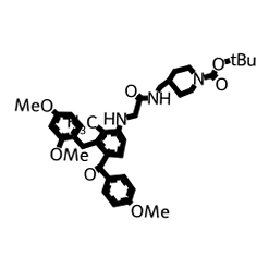 COc1ccc(C(=O)c2ccc(NCC(=O)NCC3CCN(C(=O)OC(C)(C)C)CC3)c(C)c2Cc2ccc(OC)cc2OC)cc1